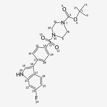 CC(C)(C)OC(=O)N1CCN(S(=O)(=O)c2ccc(-c3c[nH]c4cc(F)ccc34)cc2)CC1